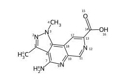 Cc1nn(C)c2c1c(N)nc1cnc(C(=O)O)cc12